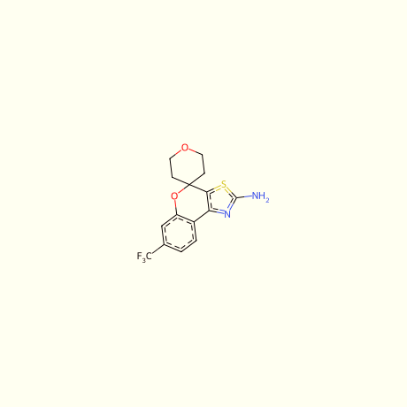 Nc1nc2c(s1)C1(CCOCC1)Oc1cc(C(F)(F)F)ccc1-2